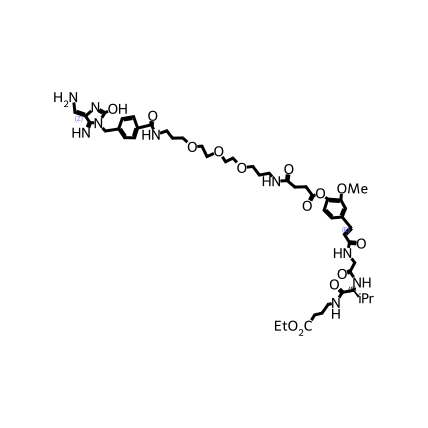 CCOC(=O)CCCNC(=O)[C@@H](NC(=O)CNC(=O)/C=C/c1ccc(OC(=O)CCC(=O)NCCCOCCOCCOCCCNC(=O)c2ccc(CN3C(=N)/C(=C/N)N=C3O)cc2)c(OC)c1)C(C)C